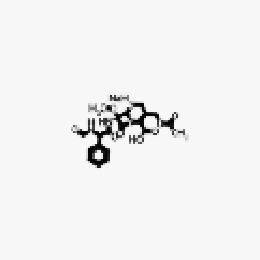 CO[C@]1(NC(=O)C(NC=O)c2ccccc2)C(=O)N2C(C(=O)O)=C(COC(C)=O)CSC21.[NaH]